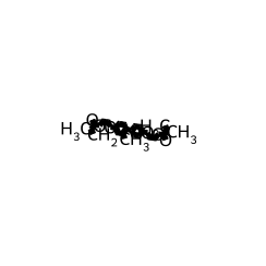 C=C(C)C(=O)O/C=C\Oc1ccc(-c2ccc(O/C=C\OC(=O)C(=C)C)cc2C)cc1